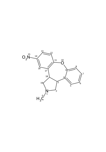 CN1CC2c3ccccc3Oc3ccc([N+](=O)[O-])cc3C2C1